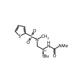 CNC(=O)N[C@H](CN(C)S(=O)(=O)c1cccs1)C(C)(C)C